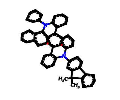 CC1(C)c2ccccc2-c2ccc(N(c3ccccc3)c3ccccc3-c3ccc(-c4ccccc4N(c4ccccc4)c4cccc5ccccc45)cc3)cc21